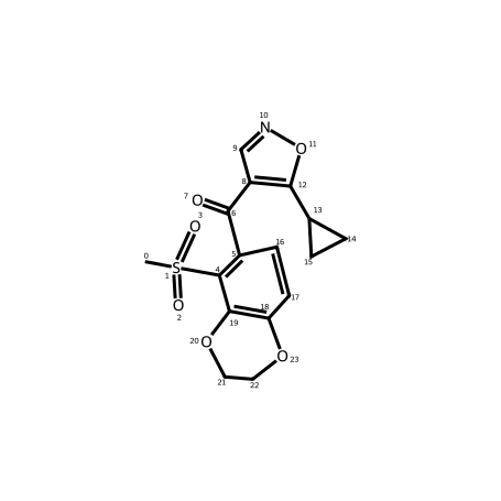 CS(=O)(=O)c1c(C(=O)c2cnoc2C2CC2)ccc2c1OCCO2